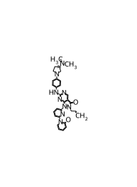 C=CCn1c(=O)c2cnc(Nc3ccc(N4CC[C@H](N(C)C)C4)cc3)nc2n1-c1cccc(-n2ccccc2=O)n1